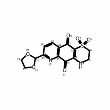 O=C1C2=C(NCCS2(=O)=O)C(=O)c2nc(C3OCCO3)ccc21